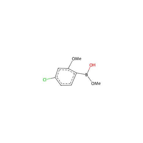 COB(O)c1ccc(Cl)cc1OC